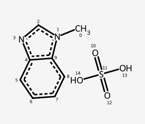 Cn1cnc2ccccc21.O=S(=O)(O)O